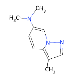 Cc1cnn2cc(N(C)C)ccc12